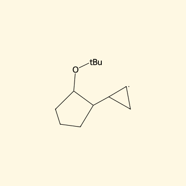 CC(C)(C)OC1CCCC1C1[CH]C1